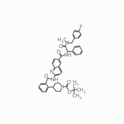 CN(Cc1ccc(F)cc1)C(=O)C(NC(=O)c1ccc2nc(NC(=O)c3ccccc3C3CCN(C(=O)OC(C)(C)C)CC3)ccc2c1)c1ccccc1